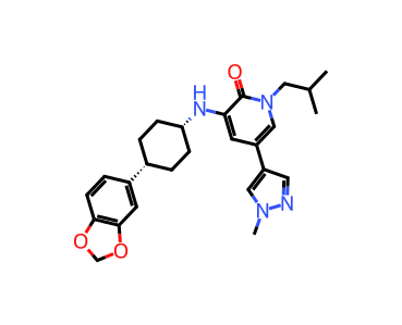 CC(C)Cn1cc(-c2cnn(C)c2)cc(N[C@H]2CC[C@@H](c3ccc4c(c3)OCO4)CC2)c1=O